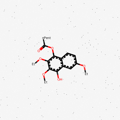 CCCCCC(=O)Oc1c(OCC)c(OCC)c(O)c2cc(OCC)ccc12